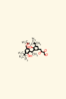 COCc1cc(C(C)c2cc(CC(=O)C(=O)C=O)cc(C(C)(C)C)c2O)c(O)c(C(C)(C)C)c1